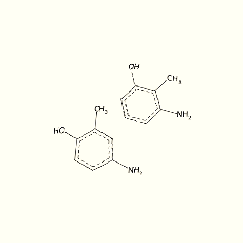 Cc1c(N)cccc1O.Cc1cc(N)ccc1O